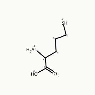 O=C(O)C([AsH2])CCCS